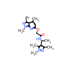 Cc1nn(C)c(C)c1C(C)NC(=O)COc1cc(C)c2c(C(C)C)nn(C)c2n1